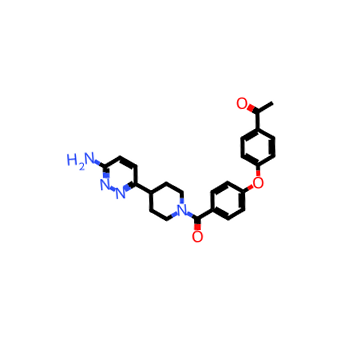 CC(=O)c1ccc(Oc2ccc(C(=O)N3CCC(c4ccc(N)nn4)CC3)cc2)cc1